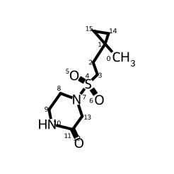 CC1(CCS(=O)(=O)N2CCNC(=O)C2)CC1